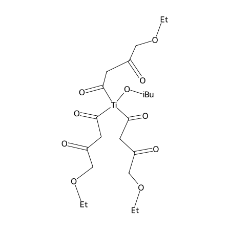 CCOCC(=O)C[C](=O)[Ti]([O]C(C)CC)([C](=O)CC(=O)COCC)[C](=O)CC(=O)COCC